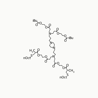 CCCCCCCCSCC(C)C(=O)OCCOC(=O)CCN(CCCN1CCN(CCCN(CCC(=O)OCCOC(=O)C(C)CC)CCC(=O)OCCOC(=O)C(C)CC)CC1)CCC(=O)OCCOC(=O)C(C)CSCCCCCCCC